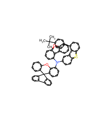 CC(C)(C)c1ccc(-c2cccc3sc4ccc(N(c5cccc6c5Oc5ccccc5C65c6ccccc6-c6ccccc65)c5cccc6oc7ccccc7c56)cc4c23)cc1